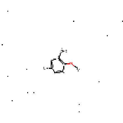 CCOc1ccc(C)cc1C=O